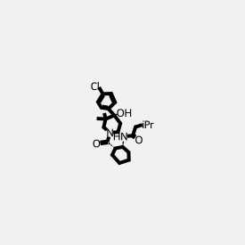 CC(C)CC(=O)N[C@@H]1CCCC[C@@H]1C(=O)N1CC[C@](O)(c2ccc(Cl)cc2)C(C)(C)C1